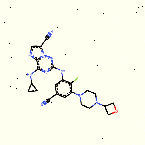 N#Cc1cc(Nc2nc(NC3CC3)c3ncc(C#N)n3n2)c(F)c(N2CCN(C3COC3)CC2)c1